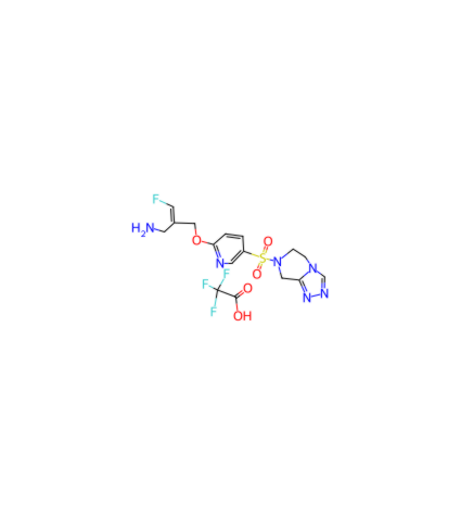 NC/C(=C\F)COc1ccc(S(=O)(=O)N2CCn3cnnc3C2)cn1.O=C(O)C(F)(F)F